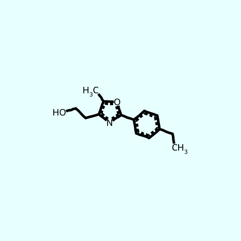 CCc1ccc(-c2nc(CCO)c(C)o2)cc1